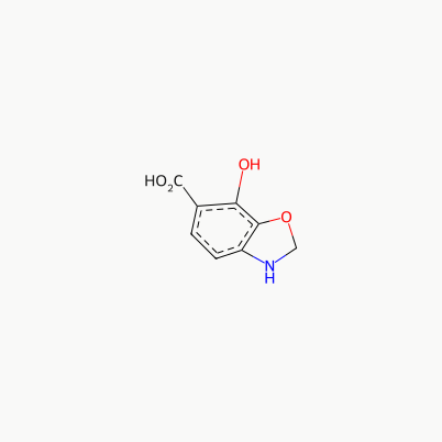 O=C(O)c1ccc2c(c1O)OCN2